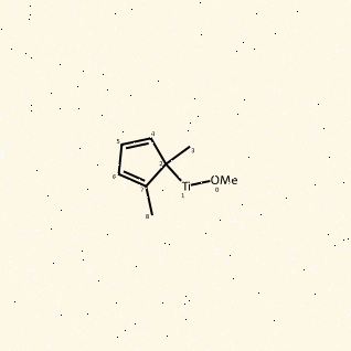 C[O][Ti][C]1(C)C=CC=C1C